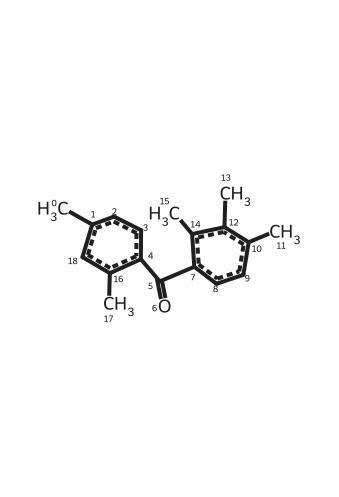 Cc1ccc(C(=O)c2ccc(C)c(C)c2C)c(C)c1